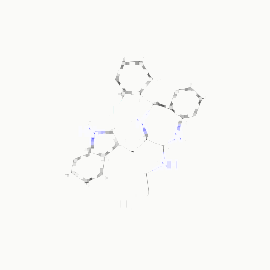 CCCNC1N=c2ccccc2=C(c2ccccc2F)N=C1Cc1c[nH]c2ccccc12